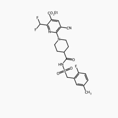 CCOC(=O)c1cc(C#N)c(N2CCC(C(=O)NS(=O)(=O)Cc3cc(C)ccc3F)CC2)nc1C(F)F